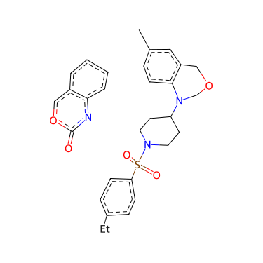 CCc1ccc(S(=O)(=O)N2CCC(N3COCc4cc(C)ccc43)CC2)cc1.O=c1nc2ccccc2co1